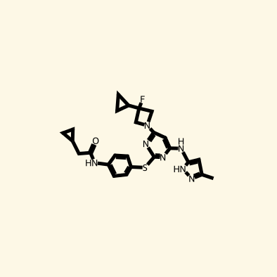 Cc1cc(Nc2cc(N3CC(F)(C4CC4)C3)nc(Sc3ccc(NC(=O)CC4CC4)cc3)n2)[nH]n1